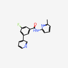 Cc1cccc(NC(=O)c2cc(F)cc(-c3cccnc3)c2)n1